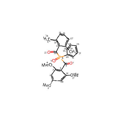 COc1cc(OC)c(C(=O)P(=O)(C(=O)c2c(C)cccc2C)c2ccccc2)c(OC)c1